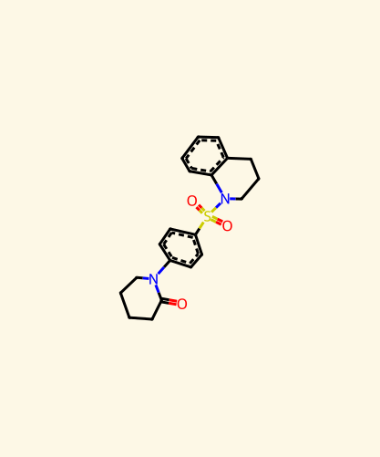 O=C1CCCCN1c1ccc(S(=O)(=O)N2CCCc3ccccc32)cc1